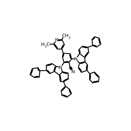 Cc1cc(-c2cc(-n3c4ccc(-c5ccccc5)cc4c4cc(-c5ccccc5)ccc43)c(C#N)c(-n3c4ccc(-c5ccccc5)cc4c4cc(-c5ccccc5)ccc43)c2)cc(C)n1